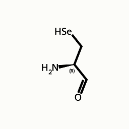 N[C@H](C=O)C[SeH]